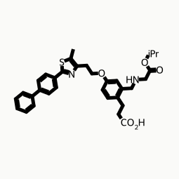 Cc1sc(-c2ccc(-c3ccccc3)cc2)nc1CCOc1ccc(CCC(=O)O)c(CNCC(=O)OC(C)C)c1